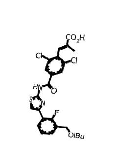 CC(=Cc1c(Cl)cc(C(=O)Nc2nc(-c3cccc(COCC(C)C)c3F)cs2)cc1Cl)C(=O)O